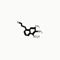 Cc1cc2c(CCCF)cccc2c(S(=O)(=O)O)c1N